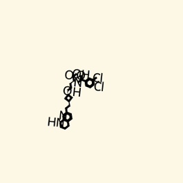 O=C(N[C@@H](CCO[C@H]1C[C@H](CCc2ccc3c(n2)NCCC3)C1)C(=O)O)c1ccc(Cl)c(Cl)c1